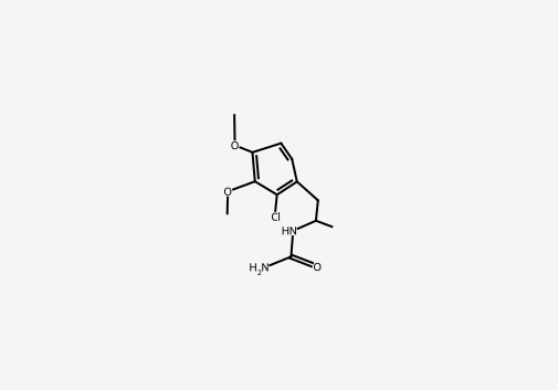 COc1ccc(CC(C)NC(N)=O)c(Cl)c1OC